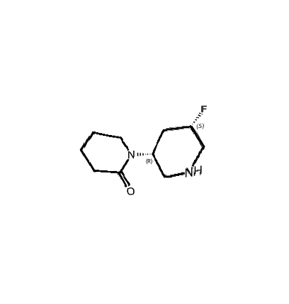 O=C1CCCCN1[C@H]1CNC[C@@H](F)C1